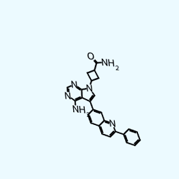 NC(=O)C1CC(n2cc(-c3ccc4ccc(-c5ccccc5)nc4c3)c3c(N)ncnc32)C1